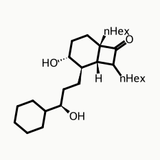 CCCCCCC1C(=O)[C@@]2(CCCCCC)CC[C@@H](O)[C@H](CC[C@@H](O)C3CCCCC3)[C@@H]12